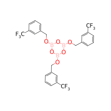 FC(F)(F)c1cccc(COB2OB(OCc3cccc(C(F)(F)F)c3)OB(OCc3cccc(C(F)(F)F)c3)O2)c1